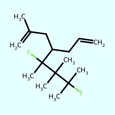 C=CCC(CC(=C)C)C(C)(F)C(C)(C)C(C)(C)F